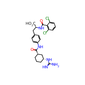 N=C(N)N[C@@H]1CCC[C@@H](C(=O)Nc2ccc(C[C@H](NC(=O)c3c(Cl)cccc3Cl)C(=O)O)cc2)C1